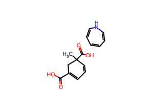 C1=CC=CNC=C1.CC1(C(=O)O)C=CC=C(C(=O)O)C1